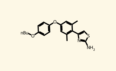 CCCCOc1ccc(Oc2cc(C)c(-c3csc(N)n3)c(C)c2)cc1